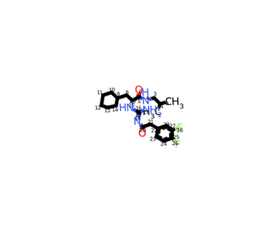 CC(C)CNC(=O)C(CC1CCCCC1)NC(N)=NC(=O)Cc1ccc(F)c(F)c1